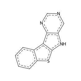 c1ccc2c(c1)sc1[nH]c3cncnc3c12